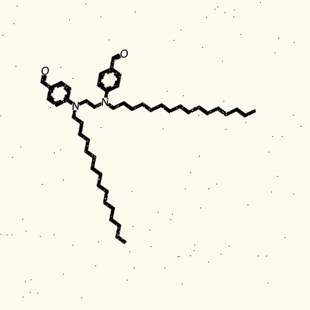 CCCCCCCCCCCCCCCCN(CCN(CCCCCCCCCCCCCCCC)c1ccc(C=O)cc1)c1ccc(C=O)cc1